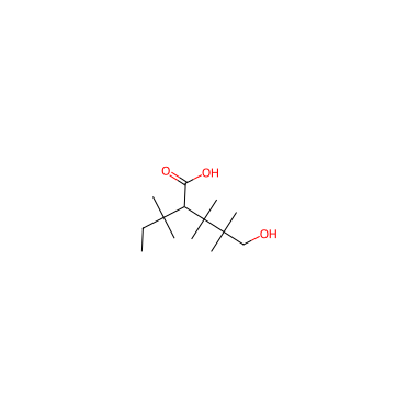 CCC(C)(C)C(C(=O)O)C(C)(C)C(C)(C)CO